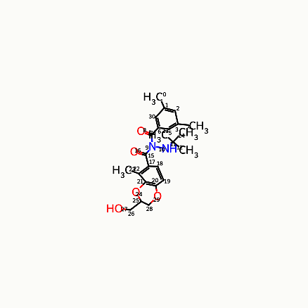 Cc1cc(C)cc(C(=O)N(NC(C)(C)C)C(=O)c2ccc3c(c2C)OC(CO)CO3)c1